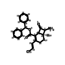 NC1C(=O)N2C(C(=O)OC(c3ccccc3)c3ccccc3)=C(/C=C/Cl)CS[C@H]12